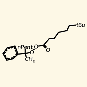 CCCCCC(C)(OOC(=O)CCCCCC(C)(C)C)c1ccccc1